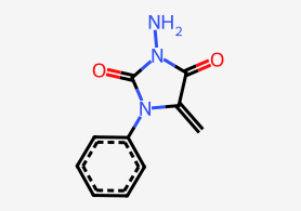 C=C1C(=O)N(N)C(=O)N1c1ccccc1